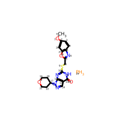 COc1ccc2nc(CSc3nc4c(cnn4C4CCOCC4)c(=O)[nH]3)oc2c1.P